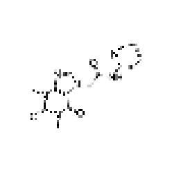 Cn1c(=O)c2c(ncn2CC(=O)Nc2ccccn2)n(C)c1=O